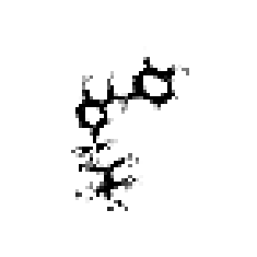 CC(NS(=O)(=O)c1ccc(F)c(C(=O)Nc2ccc(F)c(F)c2)c1)C(C)(C)C